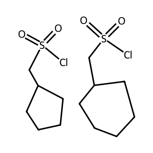 O=S(=O)(Cl)CC1CCCC1.O=S(=O)(Cl)CC1CCCCC1